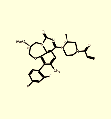 C=CC(=O)N1CCN(c2nc(=O)n3c4c(c(-c5ccc(F)cc5F)c(C(F)(F)F)cc24)SC[C@@H](OC)C3)[C@@H](C)C1